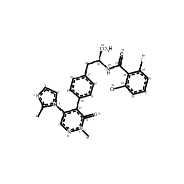 Cc1nccn1-c1cnn(C)c(=O)c1-c1ccc(C[C@H](NC(=O)c2c(Cl)cccc2Cl)C(=O)O)cc1